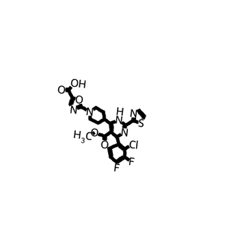 COC(=O)C1=C(C2CCN(c3ncc(C(=O)O)o3)CC2)NC(c2nccs2)=NC1c1ccc(F)c(F)c1Cl